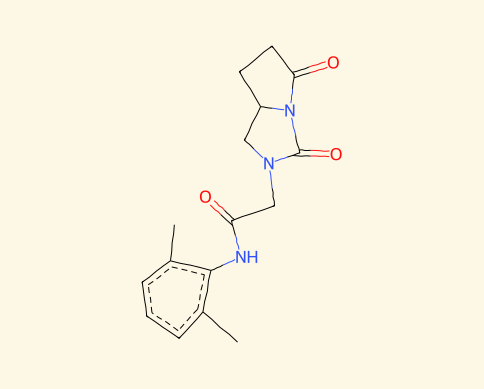 Cc1cccc(C)c1NC(=O)CN1CC2CCC(=O)N2C1=O